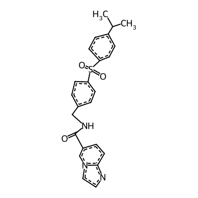 CC(C)c1ccc(S(=O)(=O)c2ccc(CNC(=O)c3ccc4nccn4c3)cc2)cc1